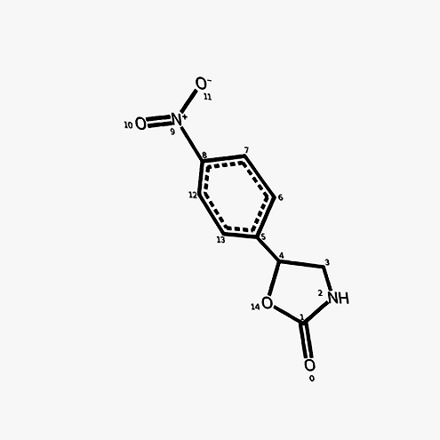 O=C1NCC(c2ccc([N+](=O)[O-])cc2)O1